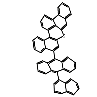 c1ccc2c(-c3c4ccccc4c(-c4cc5c(c6ccccc46)-c4cccc6c4c(cc4ccccc46)S5)c4ccccc34)cccc2c1